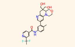 Cc1ccc(NC(=O)c2ccnc(C(C)(F)F)c2)cc1-c1cnc2c(c1)N1CCOCC1C(CO)(CO)C2